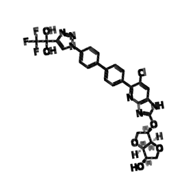 O[C@@H]1CO[C@H]2[C@@H]1OC[C@H]2Oc1nc2nc(-c3ccc(-c4ccc(-n5cc(C(O)(O)C(F)(F)F)nn5)cc4)cc3)c(Cl)cc2[nH]1